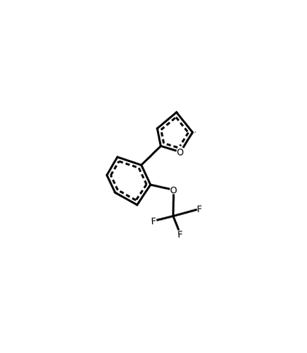 FC(F)(F)Oc1ccccc1-c1cc[c]o1